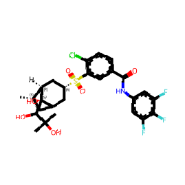 C[C@H]1CC2C[C@@H](S(=O)(=O)c3cc(C(=O)Nc4cc(F)c(F)c(F)c4)ccc3Cl)C[C@H]1[C@]2(O)C(O)C(C)(C)O